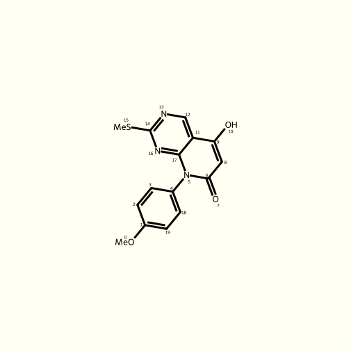 COc1ccc(-n2c(=O)cc(O)c3cnc(SC)nc32)cc1